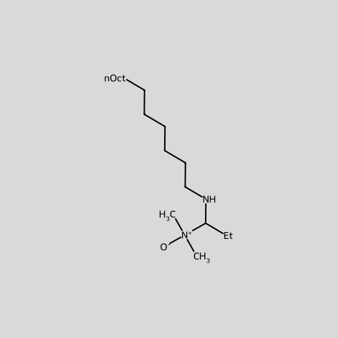 CCCCCCCCCCCCCCNC(CC)[N+](C)(C)[O-]